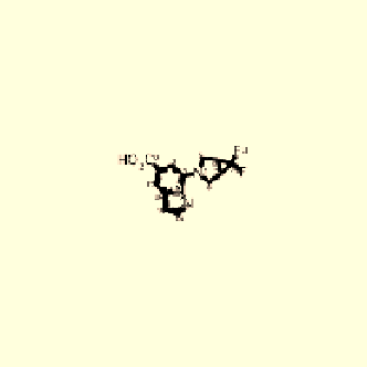 O=C(O)c1cc(N2CC3C(C2)C3(F)F)n2nccc2c1